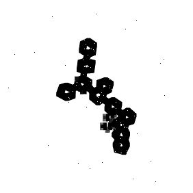 CC1(C)c2cc3ccccc3cc2-c2cccc(-c3ccc(-c4ccc(-c5cc(-c6ccc(-c7ccccc7)cc6)nc(-c6ccccc6)n5)c5ccccc45)cc3)c21